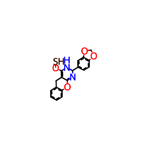 SOC1=C2Cc3ccccc3OC2=NC(c2ccc3c(c2)OCO3)N1